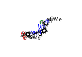 C=Cc1c2cccc(N[C@@H]3CCN(CCOC)C[C@@H]3F)c2nn1C#CCNc1ccc(S(C)(=O)=O)cc1OC